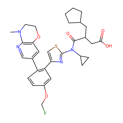 CN1CCOc2cc(-c3ccc(OCF)cc3-c3csc(N(C(=O)C(CC(=O)O)CC4CCCC4)C4CC4)n3)cnc21